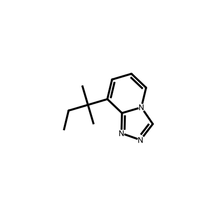 CCC(C)(C)c1cccn2cnnc12